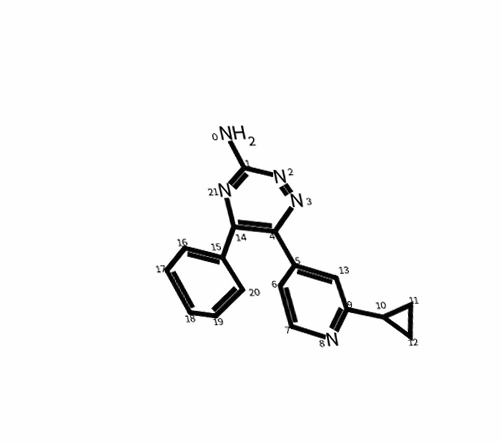 Nc1nnc(-c2ccnc(C3CC3)c2)c(-c2ccccc2)n1